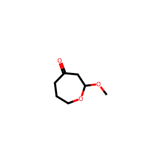 COC1CC(=O)CCCO1